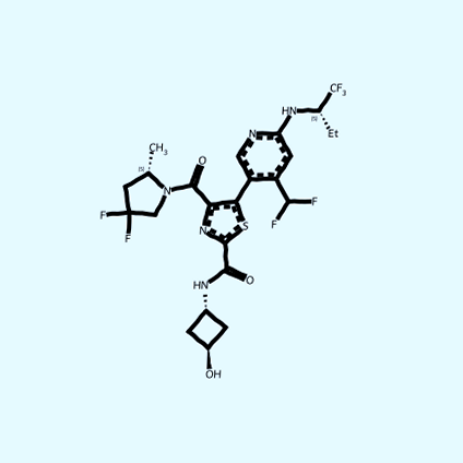 CC[C@H](Nc1cc(C(F)F)c(-c2sc(C(=O)N[C@H]3C[C@H](O)C3)nc2C(=O)N2CC(F)(F)C[C@@H]2C)cn1)C(F)(F)F